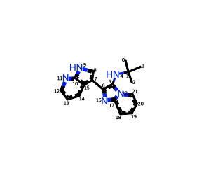 CC(C)(C)Nc1c(-c2c[nH]c3ncccc23)nc2ccccn12